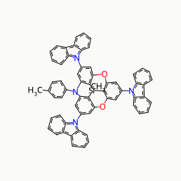 Cc1ccc(N2c3cc(-n4c5ccccc5c5ccccc54)cc4c3[Si]3(C)c5c(cc(-n6c7ccccc7c7ccccc76)cc5Oc5cc(-n6c7ccccc7c7ccccc76)cc2c53)O4)cc1